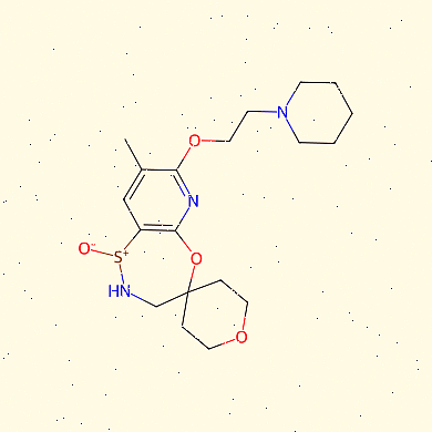 Cc1cc2c(nc1OCCN1CCCCC1)OC1(CCOCC1)CN[S+]2[O-]